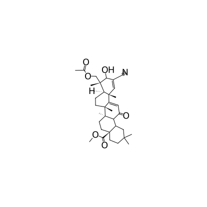 COC(=O)[C@]12CCC(C)(C)CC1C1C(=O)C=C3[C@@]4(C)C=C(C#N)C(O)[C@@](C)(COC(C)=O)[C@@H]4CC[C@@]3(C)[C@]1(C)CC2